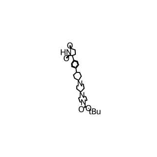 CC(C)(C)OC(=O)N1CCN(C2CCN(C3CCC(c4ccc(C5CCC(=O)NC5=O)cc4)CC3)CC2)CC1